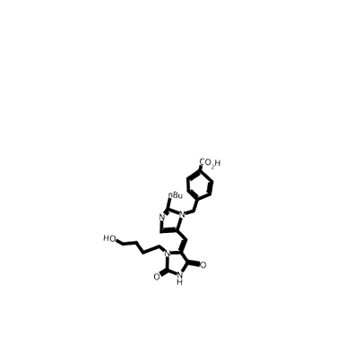 CCCCc1ncc(C=C2C(=O)NC(=O)N2CCCCO)n1Cc1ccc(C(=O)O)cc1